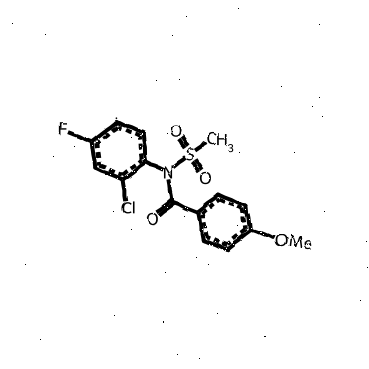 COc1ccc(C(=O)N(c2c[c]c(F)cc2Cl)S(C)(=O)=O)cc1